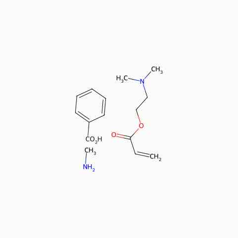 C=CC(=O)OCCN(C)C.CN.O=C(O)c1ccccc1